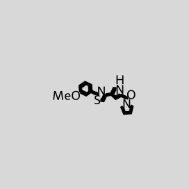 COc1cccc(-c2nc(-c3c[nH]c(C(=O)N4CCCC4)c3)cs2)c1